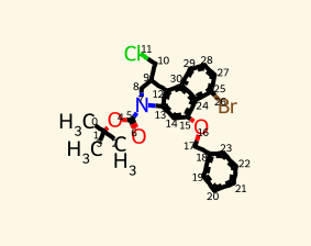 CC(C)(C)OC(=O)N1CC(CCl)c2c1cc(OCc1ccccc1)c1c(Br)cccc21